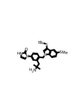 CSc1ccc2c(c1)c(SC(C)(C)C)cn2Cc1ccc(-n2cc[nH]c2=O)cc1CC(C)(C)N